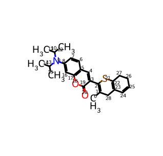 CC1=C(c2cc3ccc(N(C(C)C)C(C)C)cc3oc2=O)SC2=C(C=CCC2)C1